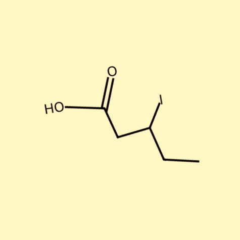 CCC(I)CC(=O)O